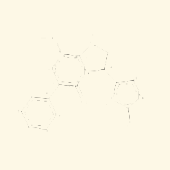 C[n+]1cc(-c2ccccc2)c(=O)n2c1SCC2c1cnc(Cl)s1